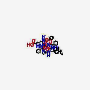 CC(C)CC(NC(=O)[C@@H]1CCCN1C(=O)C(NC(=O)C(CCC=CC(=O)O)NC(=O)OCc1ccccc1)C1CCCCC1)C(=O)NC(C(N)=O)C1CCCCC1